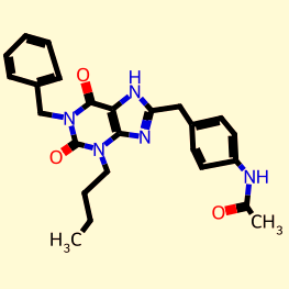 CCCCn1c(=O)n(Cc2ccccc2)c(=O)c2[nH]c(Cc3ccc(NC(C)=O)cc3)nc21